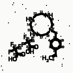 C=Cc1ccc(CN2CCNCCNCCNCC2)cc1.O=C(O)C(F)(F)F.O=C(O)C(F)(F)F